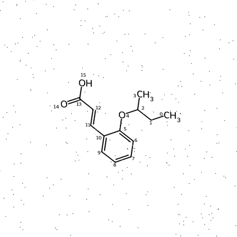 CCC(C)Oc1ccccc1C=CC(=O)O